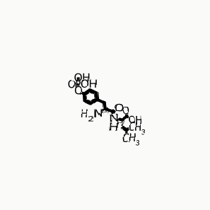 CC(C)C[C@H](NC(=O)[C@@H](N)Cc1ccc(OP(=O)(O)O)cc1)C(=O)O